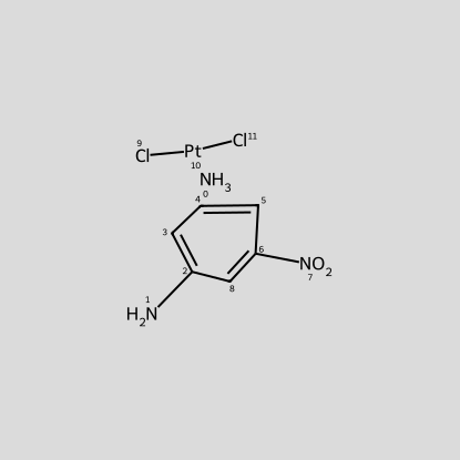 N.Nc1cccc([N+](=O)[O-])c1.[Cl][Pt][Cl]